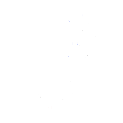 O=C(c1cnc(NC2(c3cncnc3)CC2)nc1)N1CCC(C(O)C(F)(F)F)CC1